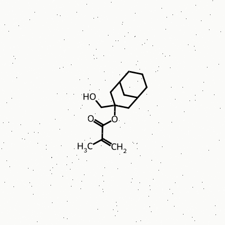 C=C(C)C(=O)OC1(CO)CC2CCCC(C2)C1